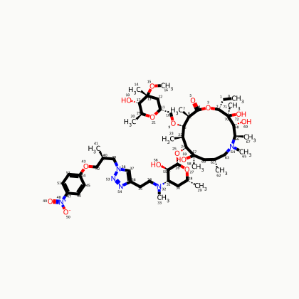 CC[C@H]1OC(=O)[C@H](C)[C@@H](OC[C@H]2C[C@@](C)(OC)[C@@H](O)[C@H](C)O2)[C@H](C)[C@@H](O[C@@H]2O[C@H](C)C[C@H](N(C)CCc3cn(C[C@H](C)COc4ccc([N+](=O)[O-])cc4)nn3)[C@H]2O)[C@](C)(O)C[C@@H](C)CN(C)[C@H](C)[C@@H](O)[C@]1(C)O